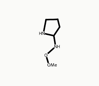 COONC1CCCN1